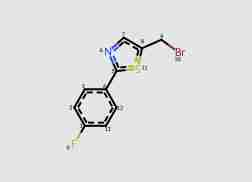 Fc1ccc(-c2ncc(CBr)s2)cc1